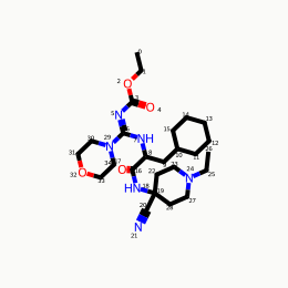 CCOC(=O)/N=C(\NC(CC1CCCCC1)C(=O)NC1(C#N)CCN(CC)CC1)N1CCOCC1